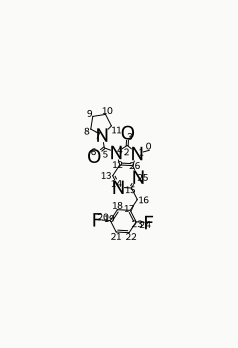 Cn1c(=O)n(C(=O)N2CCCC2)c2cnc(Cc3cc(F)ccc3F)nc21